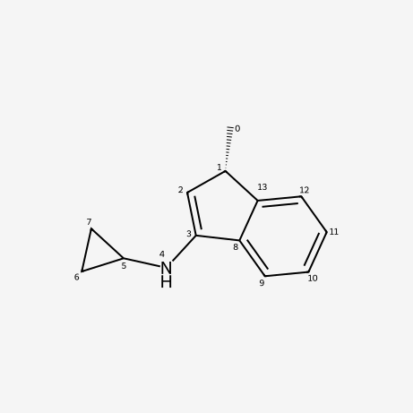 C[C@H]1C=C(NC2CC2)c2ccccc21